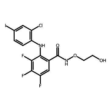 O=C(NOCCO)c1cc(F)c(F)c(F)c1Nc1ccc(I)cc1Cl